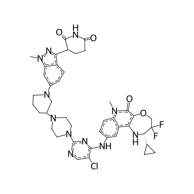 Cn1nc(C2CCC(=O)NC2=O)c2ccc(N3CCCC(N4CCN(c5ncc(Cl)c(Nc6ccc7c(c6)c6c(c(=O)n7C)OCC(F)(F)[C@H](C7CC7)N6)n5)CC4)C3)cc21